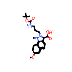 COc1ccc2c3c(ccc2c1)C(C(=O)O)N(CCCNC(=O)OC(C)(C)C)N3C